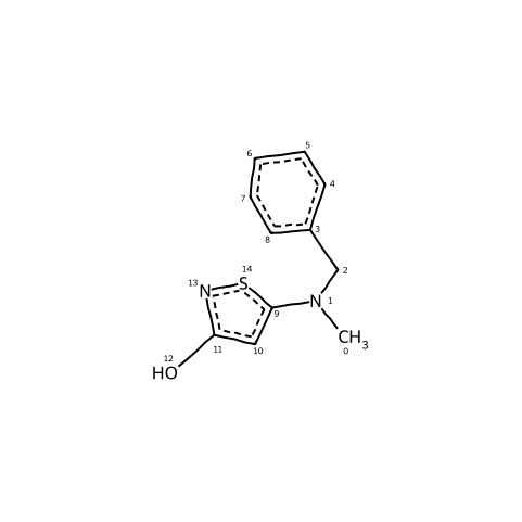 CN(Cc1ccccc1)c1cc(O)ns1